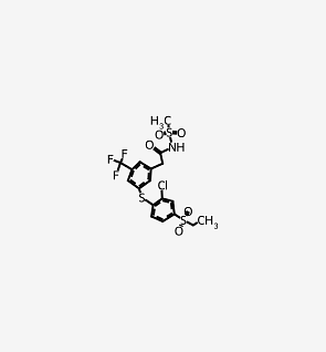 CCS(=O)(=O)c1ccc(Sc2cc(CC(=O)NS(C)(=O)=O)cc(C(F)(F)F)c2)c(Cl)c1